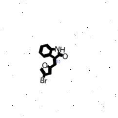 O=C1Nc2ccccc2/C1=C\c1cc(Br)co1